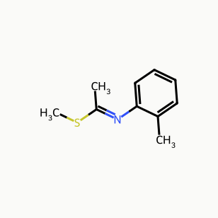 CS/C(C)=N/c1ccccc1C